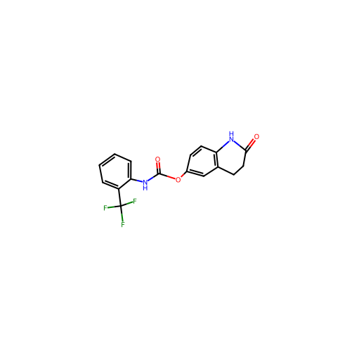 O=C1CCc2cc(OC(=O)Nc3ccccc3C(F)(F)F)ccc2N1